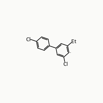 CCc1[c]c(Cl)cc(-c2ccc(Cl)cc2)c1